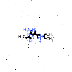 CCc1nc2c(N)ncc(C3=CN(C(CC)CC)NC3)c2nc1N